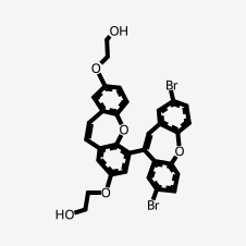 OCCOc1ccc2c(c1)C=Cc1cc(OCCO)cc(C3=Cc4cc(Br)ccc4Oc4ccc(Br)cc43)c1O2